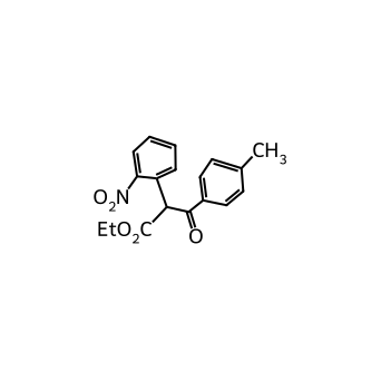 CCOC(=O)C(C(=O)c1ccc(C)cc1)c1ccccc1[N+](=O)[O-]